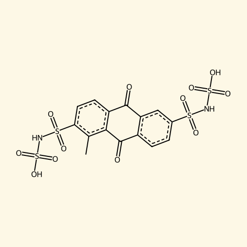 Cc1c(S(=O)(=O)NS(=O)(=O)O)ccc2c1C(=O)c1ccc(S(=O)(=O)NS(=O)(=O)O)cc1C2=O